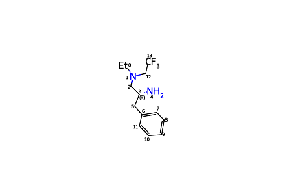 CCN(C[C@H](N)Cc1ccccc1)CC(F)(F)F